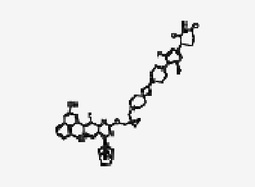 CCc1cccc2cc(O)cc(-c3ncc4c(N5CC6CCC(C5)N6)nc(OCC5(CN6CCC7(CC6)CC(N6CCN(c8c(F)cc(C9CCC(=O)NC9=O)cc8F)CC6)C7)CC5)nc4c3F)c12